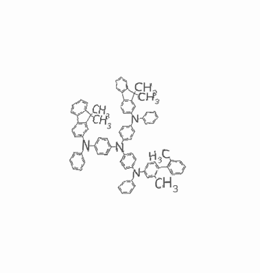 Cc1ccccc1-c1ccc(N(c2ccccc2)c2ccc(N(c3ccc(N(c4ccccc4)c4ccc5c(c4)C(C)(C)c4ccccc4-5)cc3)c3ccc(N(c4ccccc4)c4ccc5c(c4)C(C)(C)c4ccccc4-5)cc3)cc2)cc1C